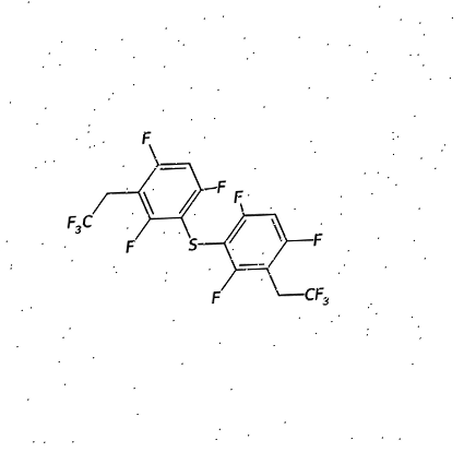 Fc1cc(F)c(Sc2c(F)cc(F)c(CC(F)(F)F)c2F)c(F)c1CC(F)(F)F